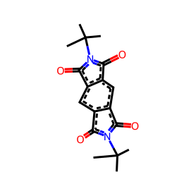 CC(C)(C)n1c(=O)c2cc3c(=O)n(C(C)(C)C)c(=O)c3cc2c1=O